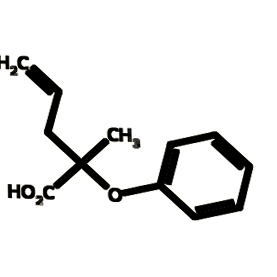 C=CCC(C)(Oc1ccccc1)C(=O)O